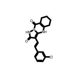 O=c1[nH]n2c(=O)c3c([nH]c2c1C=Cc1cccc(Cl)c1)CCCC3